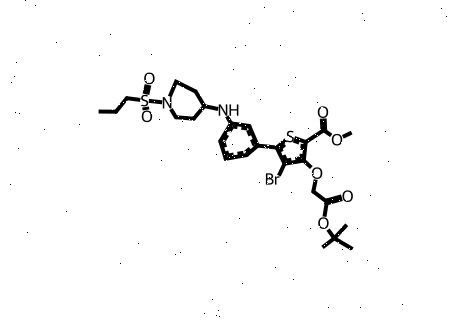 CCCS(=O)(=O)N1CCC(Nc2cccc(-c3sc(C(=O)OC)c(OCC(=O)OC(C)(C)C)c3Br)c2)CC1